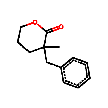 CC1(Cc2ccccc2)CCCOC1=O